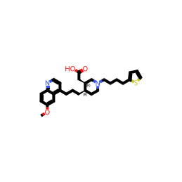 COc1ccc2nccc(CCC[C@@H]3CCN(CCCCc4cccs4)C[C@@H]3CC(=O)O)c2c1